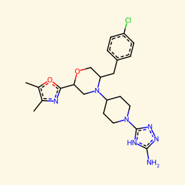 Cc1nc(C2CN(C3CCN(c4nnc(N)[nH]4)CC3)C(Cc3ccc(Cl)cc3)CO2)oc1C